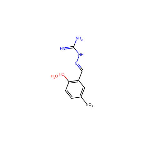 N=C(N)N/N=C/c1cc([N+](=O)[O-])ccc1O.O